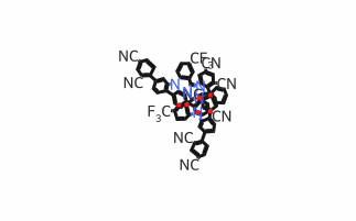 N#Cc1ccc(-c2ccc3c4ccc(-c5ccc(C#N)cc5C#N)cc4n(-c4ccc(C(F)(F)F)cc4-c4nc(-c5ccccc5)nc(-c5cc(C(F)(F)F)ccc5-n5c6cc(-c7ccc(C#N)cc7C#N)ccc6c6ccc(-c7ccc(C#N)cc7C#N)cc65)n4)c3c2)c(C#N)c1